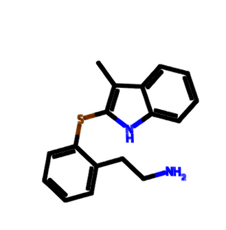 Cc1c(Sc2ccccc2CCN)[nH]c2ccccc12